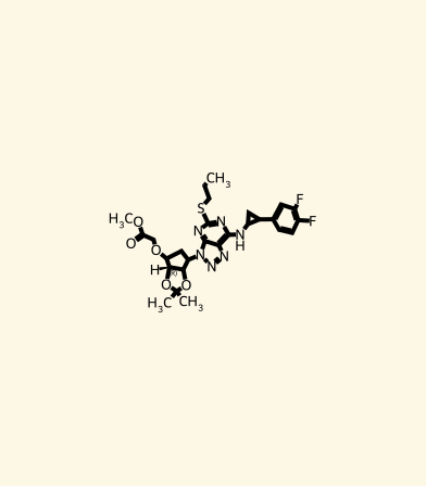 CCCSc1nc(NC2CC2c2ccc(F)c(F)c2)c2nnn(C3CC(OCC(=O)OC)[C@H]4OC(C)(C)OC34)c2n1